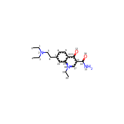 CCN(CC)CCc1ccc2c(=O)c(C(N)=O)cn(CC)c2c1